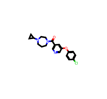 O=C(c1cncc(Oc2ccc(Cl)cc2)c1)N1CCCN(C2CC2)CC1